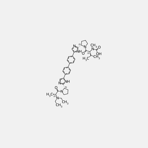 CCN(CC)[C@@H](C)C(=O)N1CCC[C@H]1c1ncc(-c2ccc(-c3ccc(-c4cnc([C@@H]5CCCN5C(=O)[C@H](C(C)C)N(C)C(=O)O)[nH]4)cc3)cc2)[nH]1